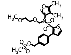 COCCOCN(c1noc(C)c1C)S(=O)(=O)c1sccc1-c1ccc(COS(C)(=O)=O)cc1